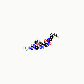 C=CC(=O)Nc1cc(Nc2nc(-c3ccnc(N4CCn5c(cc6c5CC(C)(C)C6)C4=O)c3CO)cn(C)c2=O)ccc1N1CCN(C)CC1